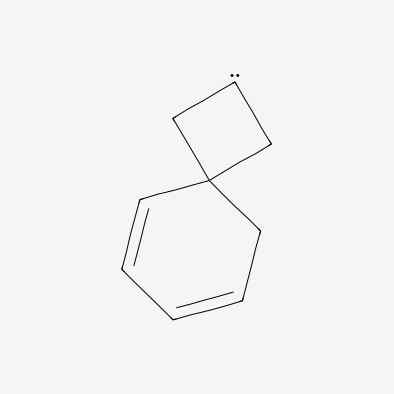 [C]1CC2(C=CC=CC2)C1